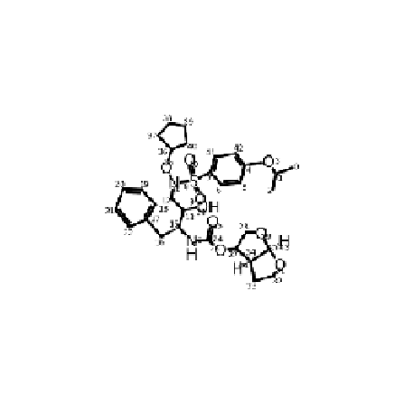 CC(C)Oc1ccc(S(=O)(=O)N(C[C@@H](O)[C@H](Cc2ccccc2)NC(=O)OC2CO[C@H]3OCC[C@@H]23)OC2CCCC2)cc1